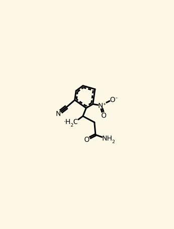 [CH2]C(CC(N)=O)c1c(C#N)cccc1[N+](=O)[O-]